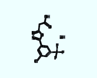 O=C(O)Cc1nnc(-c2cc(Cl)cc(C(F)(F)F)c2)o1.[LiH]